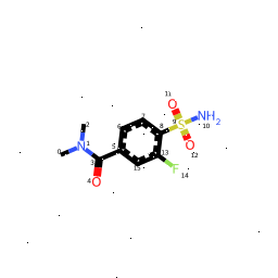 CN(C)C(=O)c1ccc(S(N)(=O)=O)c(F)c1